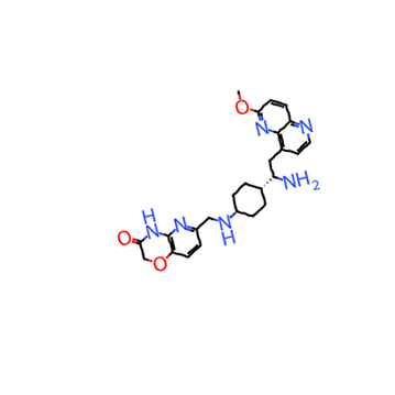 COc1ccc2nccc(CC(N)[C@H]3CC[C@H](NCc4ccc5c(n4)NC(=O)CO5)CC3)c2n1